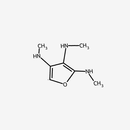 CNc1[c]oc(NC)c1NC